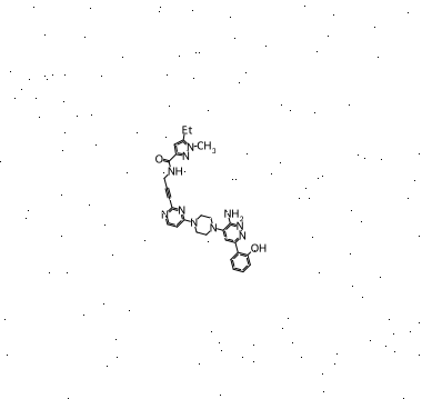 CCc1cc(C(=O)NCC#Cc2nccc(N3CCN(c4cc(-c5ccccc5O)nnc4N)CC3)n2)nn1C